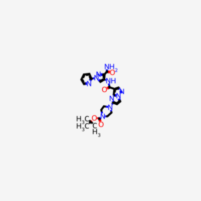 CC(C)(C)OC(=O)N1CCN(c2ccn3ncc(C(=O)Nc4cn(-c5ccccn5)nc4C(N)=O)c3n2)CC1